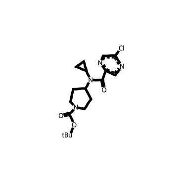 CC(C)(C)OC(=O)N1CCC(N(C(=O)c2cnc(Cl)cn2)C2CC2)CC1